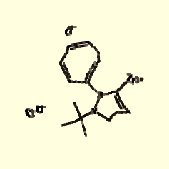 CC(C)(C)N1CC=[C]([Zr+3])B1c1ccccc1.[Cl-].[Cl-].[Cl-]